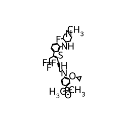 CN1CCC(Nc2cccc3c(CC(F)(F)F)c(C#CCNc4ccc(P(C)(C)=O)cc4OC4CC4)sc23)C(F)C1